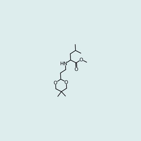 COC(=O)C(CC(C)C)NCCC1OCC(C)(C)CO1